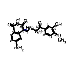 Bc1ccc2c(c1)/C(=C/NNC(=O)c1ccc(OC)c(O)c1)C(=O)NC2=O